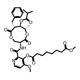 COC(=O)CCCCCCC(=O)Oc1c(OC)ccnc1C(=O)N[C@H]1COC(=O)[C@H](Cc2ccccc2)[C@@H](OC(=O)C(C)C)[C@H](C)OC1=O